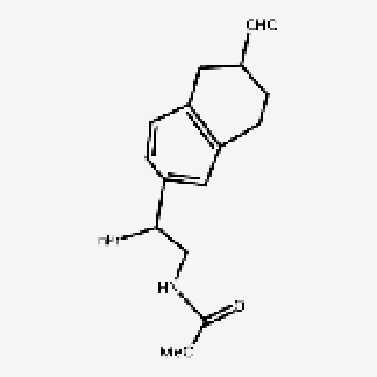 CCCC(CNC(=O)OC)c1ccc2c(c1)CCC(C=O)C2